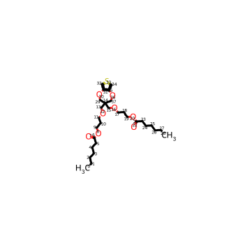 CCCCCCC(=O)OCCCOCC1(COCCCOC(=O)CCCCCC)COc2cscc2OC1